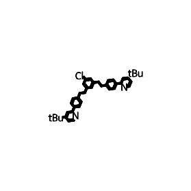 CC(C)(C)c1ccnc(-c2ccc(CCc3cc(Cl)cc(CCc4ccc(-c5cc(C(C)(C)C)ccn5)cc4)c3)cc2)c1